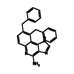 Nc1nc2ccc(Cc3ccccc3)c(Cc3ccccc3)c2c2[nH]cnc12